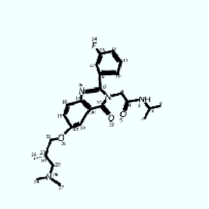 CC(C)NC(=O)Cn1c(-c2cccc(F)c2)nc2ccc(OC[C@@H](C)CN(C)C)cc2c1=O